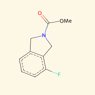 COC(=O)N1Cc2cccc(F)c2C1